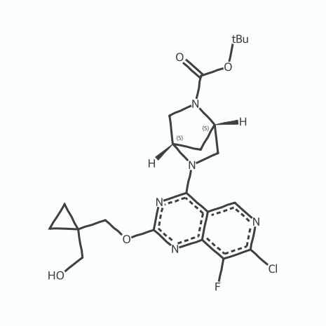 CC(C)(C)OC(=O)N1C[C@@H]2C[C@H]1CN2c1nc(OCC2(CO)CC2)nc2c(F)c(Cl)ncc12